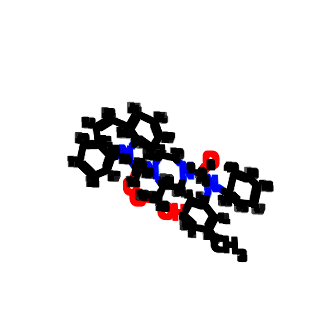 Cc1cccc(N(C(=O)N2CCN(C(=O)N3c4ccccc4C=Cc4ccccc43)[C@H](C(=O)O)C2)c2ccccc2)c1